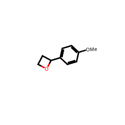 COc1ccc(C2CCO2)cc1